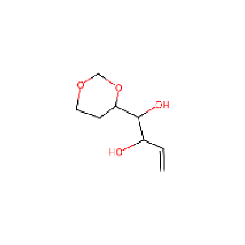 C=CC(O)C(O)C1CCOCO1